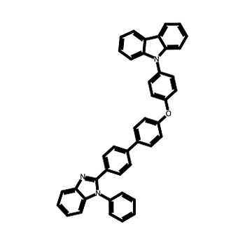 c1ccc(-n2c(-c3ccc(-c4ccc(Oc5ccc(-n6c7ccccc7c7ccccc76)cc5)cc4)cc3)nc3ccccc32)cc1